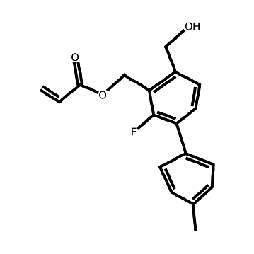 C=CC(=O)OCc1c(CO)ccc(-c2ccc(C)cc2)c1F